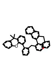 CC1(C)c2ccccc2Oc2c(-c3ccccc3Cc3ccccc3-c3cc4ccccc4cc3Cc3ccccc3)cccc21